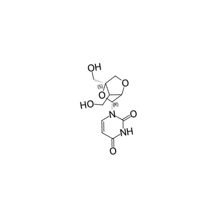 O=c1ccn([C@@H]2O[C@@]3(CO)COC2C3CO)c(=O)[nH]1